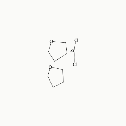 C1CCOC1.C1CCOC1.[Cl][Zn][Cl]